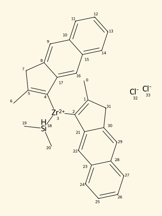 CC1=[C]([Zr+2]([C]2=C(C)Cc3cc4ccccc4cc32)[SiH](C)C)c2cc3ccccc3cc2C1.[Cl-].[Cl-]